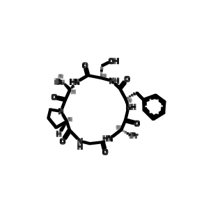 CC[C@H](C)[C@@H]1NC(=O)[C@H](CO)NC(=O)[C@H](Cc2ccccc2)NC(=O)[C@H](C(C)C)NC(=O)CNC(=O)[C@@H]2CCCN2C1=O